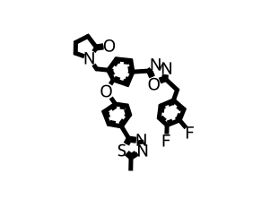 Cc1nnc(-c2ccc(Oc3cc(-c4nnc(Cc5ccc(F)c(F)c5)o4)ccc3CN3CCCC3=O)cc2)s1